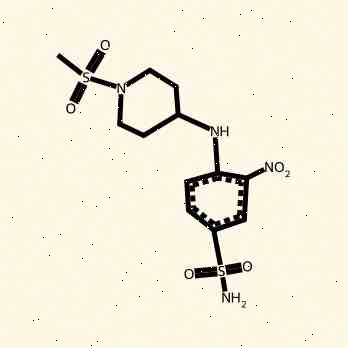 CS(=O)(=O)N1CCC(Nc2ccc(S(N)(=O)=O)cc2[N+](=O)[O-])CC1